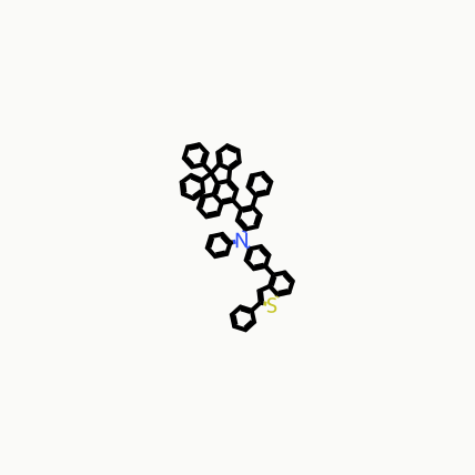 c1ccc(-c2cc3c(-c4ccc(N(c5ccccc5)c5ccc(-c6ccccc6)c(-c6cc7c(c8ccccc68)C(c6ccccc6)(c6ccccc6)c6ccccc6-7)c5)cc4)cccc3s2)cc1